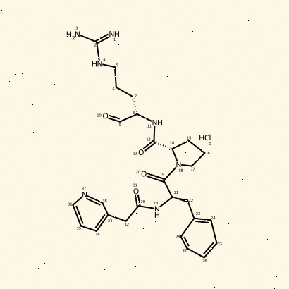 Cl.N=C(N)NCCC[C@@H](C=O)NC(=O)[C@@H]1CCCN1C(=O)[C@@H](Cc1ccccc1)NC(=O)Cc1cccnc1